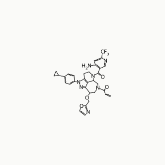 C=CC(=O)N1CC(OCc2ncco2)c2nn(-c3ccc(C4CC4)cc3)c3c2C(C1)N(C(=O)c1cnc(C(F)(F)F)cc1N)CC3